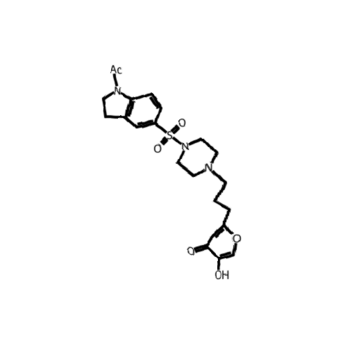 CC(=O)N1CCc2cc(S(=O)(=O)N3CCN(CCCc4cc(=O)c(O)co4)CC3)ccc21